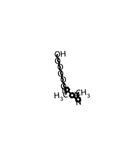 Cc1nc(OCCOCCOCCOCCOCCO)ccc1-c1ccc2c3cnccc3n(C)c2c1